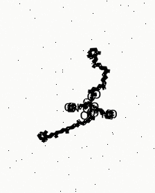 CC(C=CC=C(C)C=CC1=C(C)CCCC1(C)C)=CC=CC=C(C)C=CC=C(C)C(=O)OC[C@H](OC(=O)CCN1CCOCC1)[C@@H](COC(=O)\C(C)=C/C=C/C(C)=C/C=C/C=C(C)/C=C/C=C(C)/C=C/C1=C(C)CCCC1(C)C)OC(=O)CCN1CCOCC1